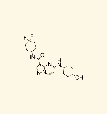 O=C(NC1CCC(F)(F)CC1)c1cnn2ccc(NC3CCC(O)CC3)nc12